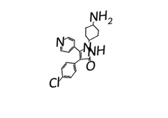 NC1CCC(n2[nH]c(=O)c(-c3ccc(Cl)cc3)c2-c2ccncc2)CC1